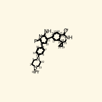 CC(C)N1CCN(c2ccc(-c3cc(-c4ccc5c(c4)C4(CC4)CNC5=O)c(N)nc3F)cc2)CC1